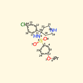 CC(C)Oc1ccc(S(=O)(=O)NC2(c3ccc(Cl)cc3)CCNCC2)cc1